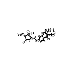 C[C@@H]1C[C@H](CCc2ccc3cc(Br)c(N)nc3c2)[C@@H](O)[C@H]1O